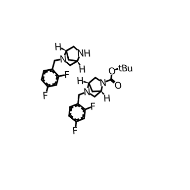 CC(C)(C)OC(=O)N1C[C@@H]2C[C@H]1CN2Cc1ccc(F)cc1F.Fc1ccc(CN2C[C@@H]3C[C@H]2CN3)c(F)c1